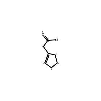 O=C(Cl)CC1=CCCC1